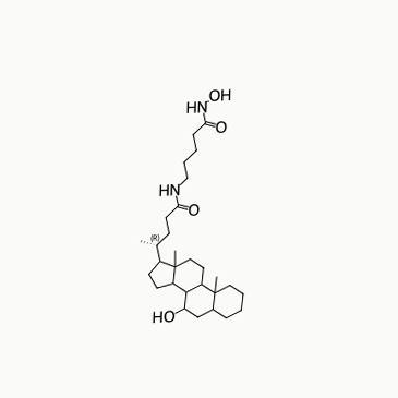 C[C@H](CCC(=O)NCCCCC(=O)NO)C1CCC2C3C(O)CC4CCCCC4(C)C3CCC21C